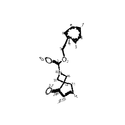 O=C(OCc1ccccc1)N1CC2(CC=CC2=O)C1